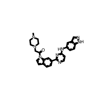 CN1CCN(CC(=O)n2ccc3ccc(-c4nccc(Nc5ccc6[nH]ncc6c5)n4)cc32)CC1